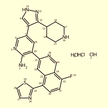 Cl.Cl.Cl.Nc1ncc(-c2c[nH]nc2C2CCNCC2)cc1-c1cc2c(-c3nccs3)ccc(F)c2cn1